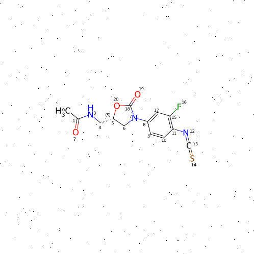 CC(=O)NC[C@H]1CN(c2ccc(N=C=S)c(F)c2)C(=O)O1